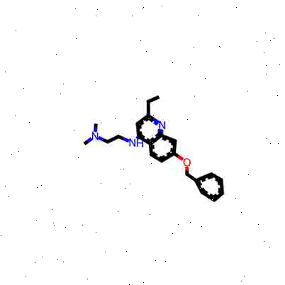 CCc1cc(NCCN(C)C)c2ccc(OCc3ccccc3)cc2n1